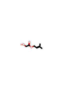 CC(C)=CCOC(=O)CO